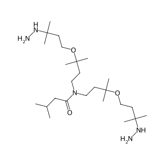 CC(C)CC(=O)N(CCC(C)(C)OCCC(C)(C)NN)CCC(C)(C)OCCC(C)(C)NN